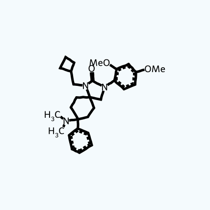 COc1ccc(N2CC3(CCC(c4ccccc4)(N(C)C)CC3)N(CC3CCC3)C2=O)c(OC)c1